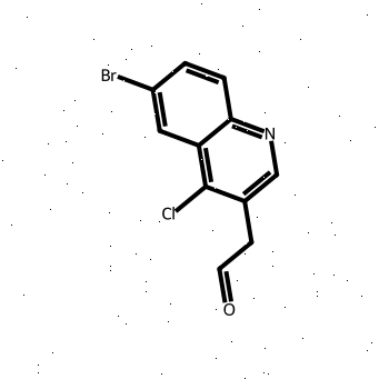 O=CCc1cnc2ccc(Br)cc2c1Cl